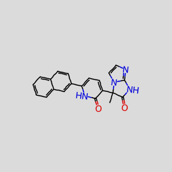 CC1(c2ccc(-c3ccc4ccccc4c3)[nH]c2=O)C(=O)Nc2nccn21